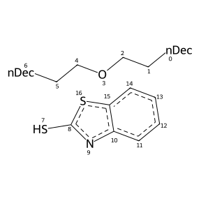 CCCCCCCCCCCCOCCCCCCCCCCCC.Sc1nc2ccccc2s1